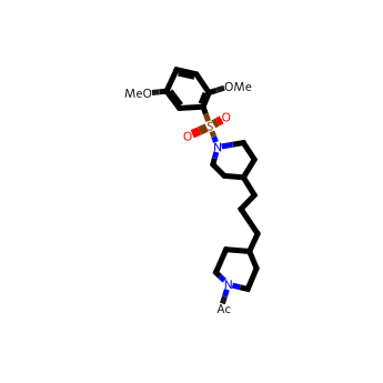 COc1ccc(OC)c(S(=O)(=O)N2CCC(CCCC3CCN(C(C)=O)CC3)CC2)c1